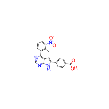 Cc1c(-c2ncnc3[nH]c(-c4ccc(C(=O)O)cc4)cc23)cccc1[N+](=O)[O-]